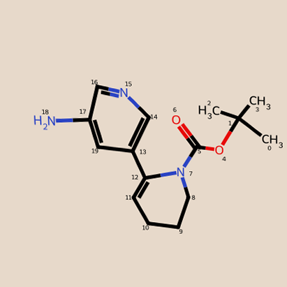 CC(C)(C)OC(=O)N1CCCC=C1c1cncc(N)c1